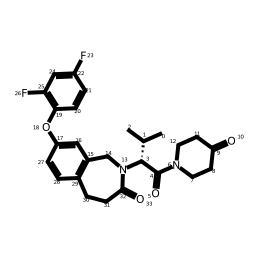 CC(C)[C@H](C(=O)N1CCC(=O)CC1)N1Cc2cc(Oc3ccc(F)cc3F)ccc2CCC1=O